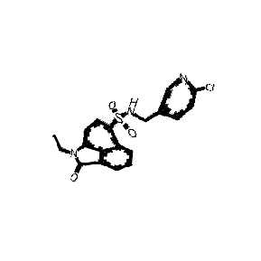 CCN1C(=O)c2cccc3c(S(=O)(=O)NCc4ccc(Cl)nc4)ccc1c23